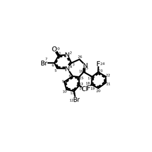 O=c1nc2n(cc1Br)-c1ccc(Br)c(Cl)c1C(c1c(F)cccc1F)=NC2